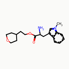 Cn1cc(CC(N)C(=O)OCCC2CCOCC2)c2ccccc21